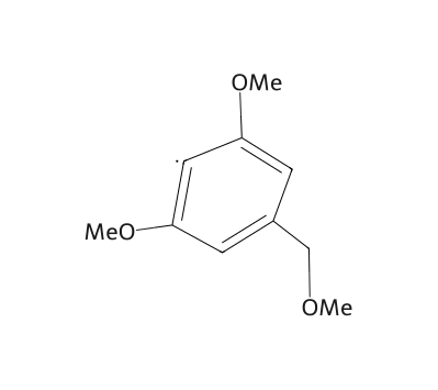 COCc1cc(OC)[c]c(OC)c1